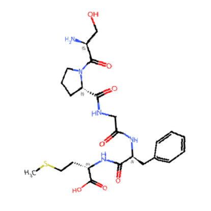 CSCC[C@H](NC(=O)[C@H](Cc1ccccc1)NC(=O)CNC(=O)[C@@H]1CCCN1C(=O)[C@@H](N)CO)C(=O)O